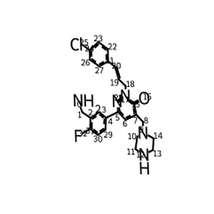 NCc1cc(-c2cc(CN3CCNCC3)c(=O)n(C/C=C/c3ccc(Cl)cc3)n2)ccc1F